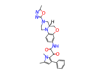 Cc1nnc(N2CCN3c4ccc(NC(=O)C(=O)c5c(-c6ccccc6)cc(C)n5C)cc4OC[C@H]3C2)o1